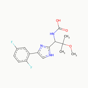 COC(C)(C)C(NC(=O)O)c1nc(-c2cc(F)ccc2F)c[nH]1